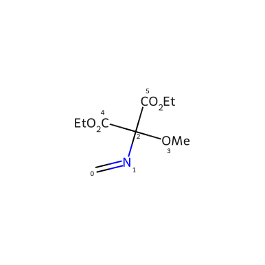 C=NC(OC)(C(=O)OCC)C(=O)OCC